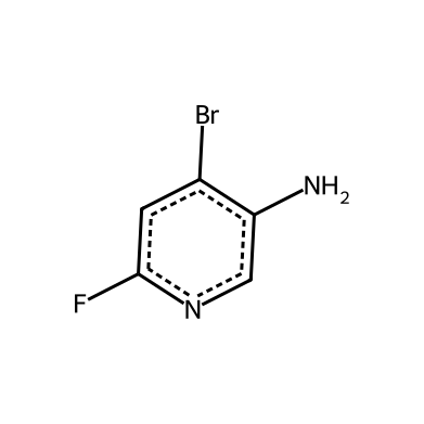 Nc1cnc(F)cc1Br